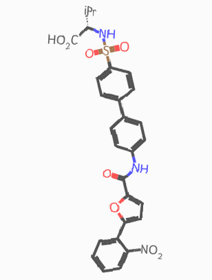 CC(C)[C@H](NS(=O)(=O)c1ccc(-c2ccc(NC(=O)c3ccc(-c4ccccc4[N+](=O)[O-])o3)cc2)cc1)C(=O)O